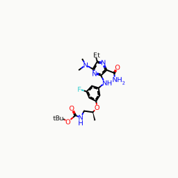 CCc1nc(C(N)=O)c(Nc2cc(F)cc(O[C@@H](C)CNC(=O)OC(C)(C)C)c2)nc1N(C)C